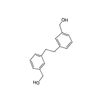 OCc1cccc([CH]Cc2cccc(CO)c2)c1